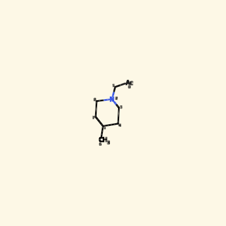 CC(=O)CN1CCC(C)CC1